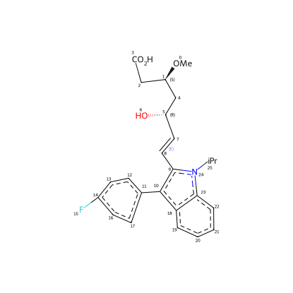 CO[C@H](CC(=O)O)C[C@@H](O)/C=C/c1c(-c2ccc(F)cc2)c2ccccc2n1C(C)C